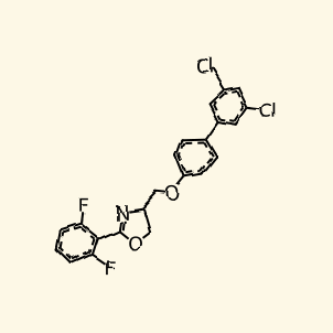 Fc1cccc(F)c1C1=NC(COc2ccc(-c3cc(Cl)cc(Cl)c3)cc2)CO1